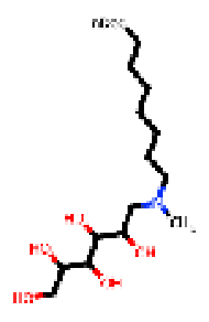 CCCCCCCCCCCCCCCCCN(C)CC(O)C(O)C(O)C(O)CO